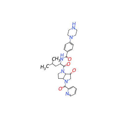 CC(C)CC(NC(=O)c1ccc(N2CCNCC2)cc1)C(=O)N1CCC2C1C(=O)CN2C(=O)c1ccccn1